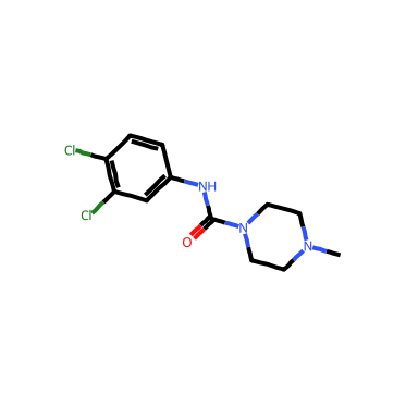 CN1CCN(C(=O)Nc2ccc(Cl)c(Cl)c2)CC1